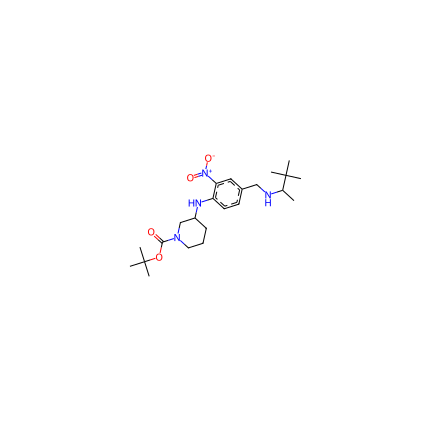 CC(NCc1ccc(NC2CCCN(C(=O)OC(C)(C)C)C2)c([N+](=O)[O-])c1)C(C)(C)C